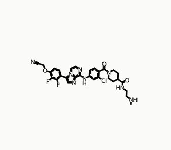 CNCCNC(=O)C1CCN(C(=O)c2ccc(Nc3nccn4c(-c5ccc(OCC#N)c(F)c5F)cnc34)cc2Cl)CC1